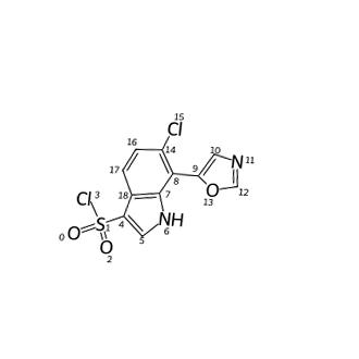 O=S(=O)(Cl)c1c[nH]c2c(-c3cnco3)c(Cl)ccc12